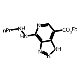 CCCNNc1ncc(C(=O)OCC)c2[nH]nnc12